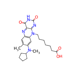 Cc1cc2nc3c(=O)[nH]c(=O)nc-3n(CCCCCCC(=O)O)c2cc1N(C)C1CCCC1